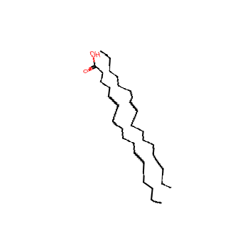 CCCCCCCCCCCCCCCC.CCCCCCCCCCCCCCCC(=O)O